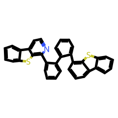 c1ccc(-c2cccc3c2sc2ccccc23)c(-c2ccccc2-c2nccc3c2sc2ccccc23)c1